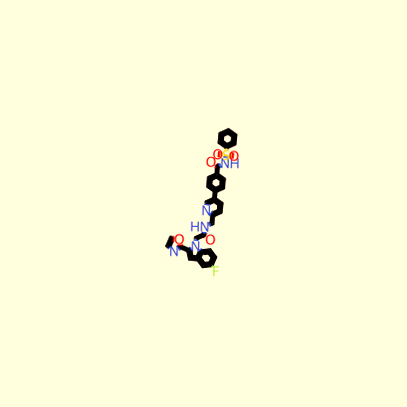 O=C(Cn1c(-c2ncco2)cc2cc(F)ccc21)NCc1ccc(-c2ccc(C(=O)NS(=O)(=O)c3ccccc3)cc2)cn1